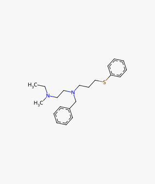 CCN(C)CCN(CCCSc1ccccc1)Cc1ccccc1